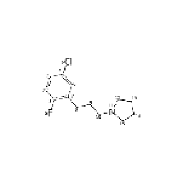 Fc1ccc(Cl)cc1CCCN1CCCC1